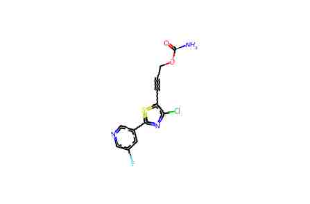 NC(=O)OCC#Cc1sc(-c2cncc(F)c2)nc1Cl